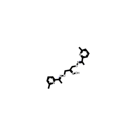 C/C(=N\OCC(CO/N=C(\C)c1cccc(C)n1)=NO)c1cccc(C)n1